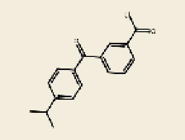 CC(C)c1ccc(C(=O)c2cccc(C(=O)Cl)c2)cc1